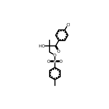 Cc1ccc(S(=O)(=O)OCC(C)(O)C(=O)c2ccc(Cl)cc2)cc1